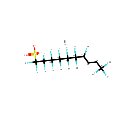 O=S(=O)([O-])C(F)(F)C(F)(F)C(F)(F)C(F)(F)C(F)(F)C(F)(F)C(F)CCC(F)(F)F.[K+]